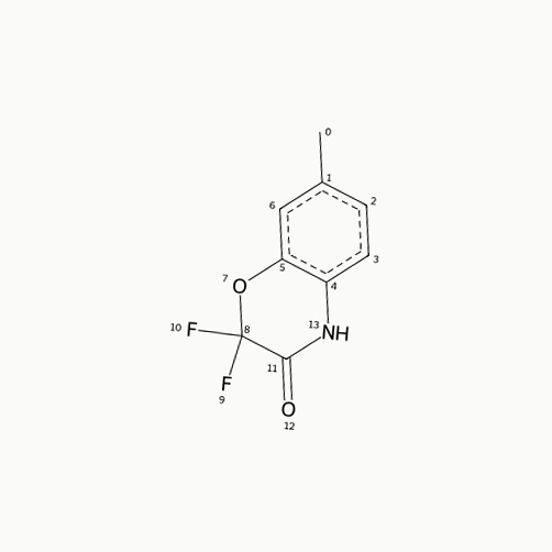 Cc1ccc2c(c1)OC(F)(F)C(=O)N2